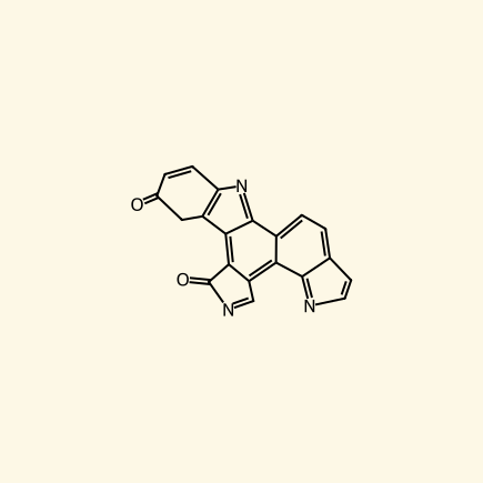 O=C1C=Cc2nc3c4ccc5ccnc5c4c4cnc(=O)c4c3c2C1